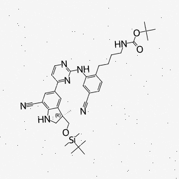 CC(C)(C)OC(=O)NCCCCc1ccc(C#N)cc1Nc1nccc(-c2cc(C#N)c3c(c2)[C@@](C)(CO[Si](C)(C)C(C)(C)C)CN3)n1